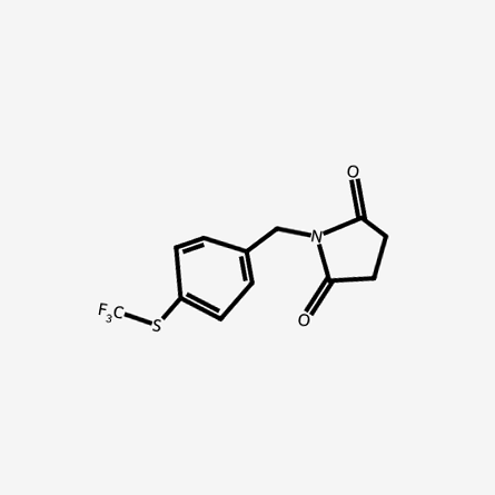 O=C1CCC(=O)N1Cc1ccc(SC(F)(F)F)cc1